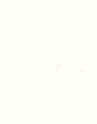 Cc1ccc(CNc2cnoc2C)o1